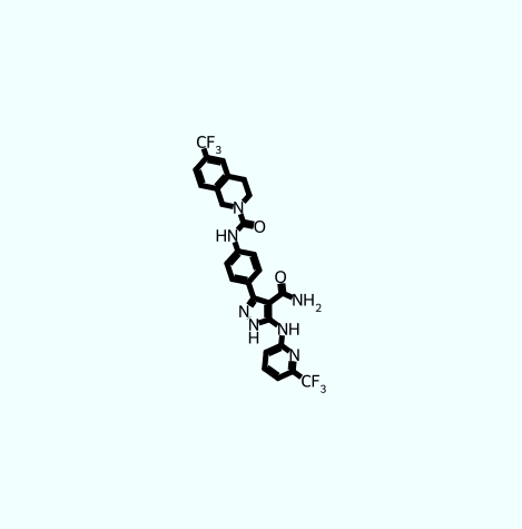 NC(=O)c1c(-c2ccc(NC(=O)N3CCc4cc(C(F)(F)F)ccc4C3)cc2)n[nH]c1Nc1cccc(C(F)(F)F)n1